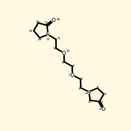 O=C1CCN(CCOCCOCCN2CCCC2=O)C1